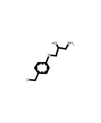 NCC(O)COc1ccc(CCl)cc1